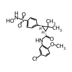 COc1ccc(Cl)cc1NC(=O)[C@@H]1[C@@H](c2ccc(S(=O)(=O)NO)cc2)C1(C)C